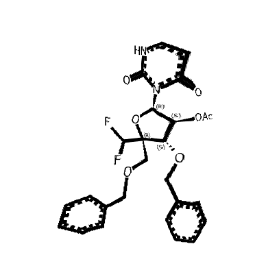 CC(=O)O[C@@H]1[C@H](n2c(=O)cc[nH]c2=O)O[C@@](COCc2ccccc2)(C(F)F)[C@H]1OCc1ccccc1